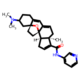 CN(C)C1CCC2=CC3=CC[C@@]4(C)C(C(=O)Nc5cccnc5)=CC[C@H]4[C@@]34CC[C@]2(C1)O4